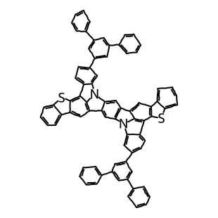 c1ccc(-c2cc(-c3ccccc3)cc(-c3ccc4c5c6sc7ccccc7c6cc6c7cc8c(cc7n(c4c3)c65)c3cc4c5ccccc5sc4c4c5ccc(-c6cc(-c7ccccc7)cc(-c7ccccc7)c6)cc5n8c34)c2)cc1